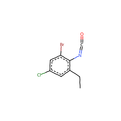 CCc1cc(Cl)cc(Br)c1N=C=O